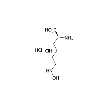 Cl.Cl.N[C@@H](CCCCNO)C(=O)O